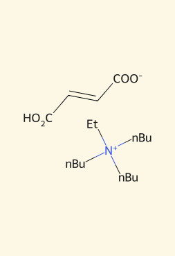 CCCC[N+](CC)(CCCC)CCCC.O=C([O-])/C=C/C(=O)O